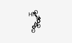 COc1ccc2c(c1)C(=O)N(c1ccc3ccn(CCNC(C)=O)c3c1)C2